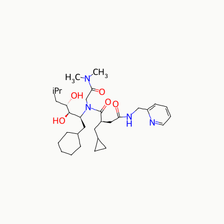 CC(C)C[C@H](O)[C@H](O)[C@H](CC1CCCCC1)N(CC(=O)N(C)C)C(=O)[C@@H](CC(=O)NCc1ccccn1)CC1CC1